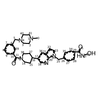 CN1CCN(Cc2cccc(C(=O)N3CCC(c4cnc5c(ccn5Cc5ccc(C(=O)NO)cc5)c4)CC3)c2)CC1